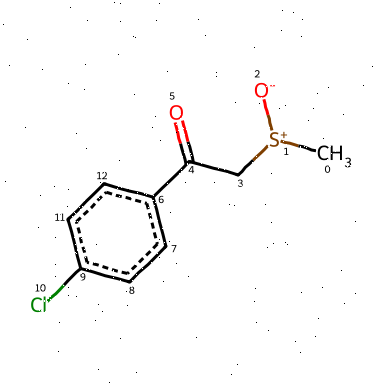 C[S+]([O-])CC(=O)c1ccc(Cl)cc1